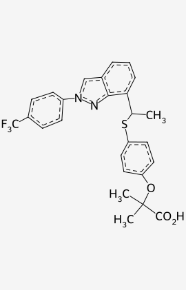 CC(Sc1ccc(OC(C)(C)C(=O)O)cc1)c1cccc2cn(-c3ccc(C(F)(F)F)cc3)nc12